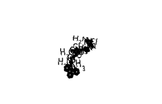 COC(=O)[C@H](C)NP(=O)(OCCSC(=O)C(C)(C)COC(c1ccccc1)(c1ccccc1)c1ccccc1)OC[C@@H]1C=C[C@H](n2cnc3c(Cl)nc(N)nc32)C1